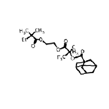 CCC(C)(C)C(=O)OCCOC(=O)C(C)(OC(=O)C12CC3CC(CC(C3)C1)C2)C(F)(F)F